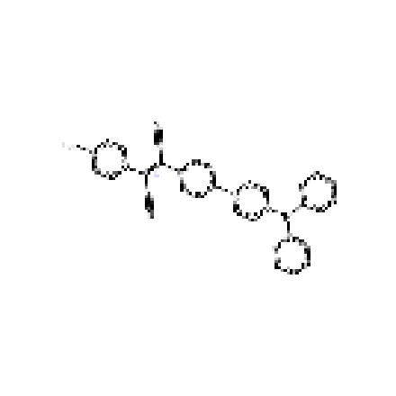 Cc1ccc(/C(C#N)=C(\C#N)c2ccc(-c3ccc(N(c4ccccc4)c4ccccc4)cc3)cc2)cc1